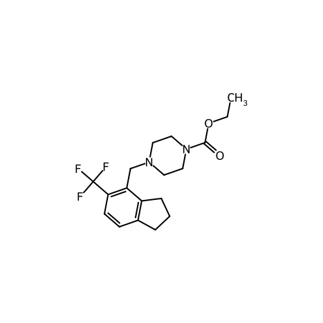 CCOC(=O)N1CCN(Cc2c(C(F)(F)F)ccc3c2CCC3)CC1